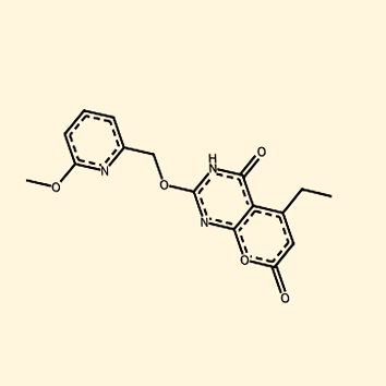 CCc1cc(=O)oc2nc(OCc3cccc(OC)n3)[nH]c(=O)c12